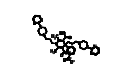 CC1=C(C(=O)O)C(CCCN2CCN(c3ncccn3)CC2)(c2cccc([N+](=O)[O-])c2)C(C(=O)O)=C(C)N1CCCN1CCN(c2ncccn2)CC1